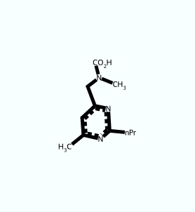 CCCc1nc(C)cc(CN(C)C(=O)O)n1